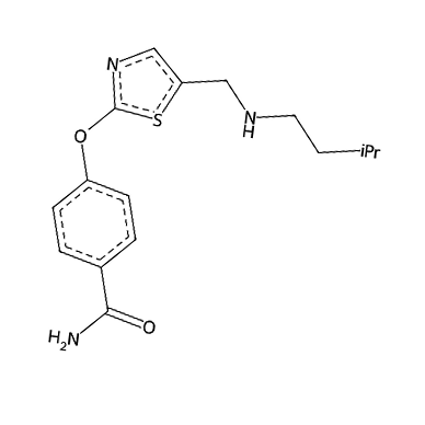 CC(C)CCNCc1cnc(Oc2ccc(C(N)=O)cc2)s1